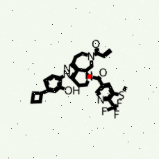 C=CC(=O)N1CCc2nn(-c3ccc(C4CCC4)cc3O)c3c2[C@H](C1)N(C(=O)c1cnc(C(F)(F)F)c(SC)c1)CC3